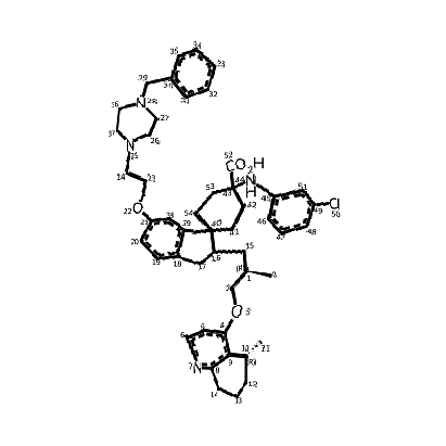 C[C@@H](COc1ccnc2c1[C@H](C)CCC2)CC1Cc2ccc(OCCN3CCN(Cc4ccccc4)CC3)cc2C12CCC(Nc1cccc(Cl)c1)(C(=O)O)CC2